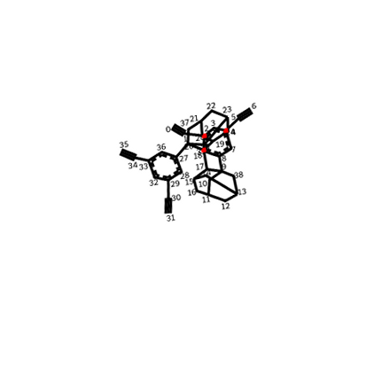 C#Cc1cc(C#C)cc(C23CC4CC(CC(C4)C2C2C4CC5CC(C4)CC2(c2cc(C#C)cc(C#C)c2)C5)C3)c1